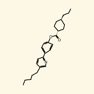 CCCCCc1ccc(-c2ccc(OC(=O)[C@H]3CC[C@H](CCC)CC3)cc2)nc1